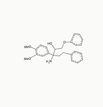 COc1ccc(C(N)(CCc2ccccc2)C(O)COc2ccccc2)cc1OC